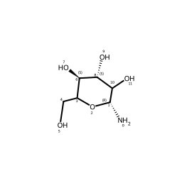 N[C@@H]1OC(CO)[C@@H](O)[C@H](O)C1O